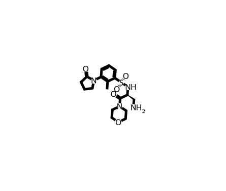 Cc1c(N2CCCC2=O)cccc1S(=O)(=O)N[C@@H](CN)C(=O)N1CCOCC1